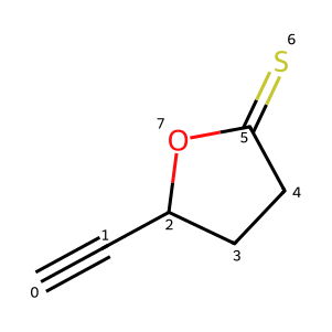 C#CC1CCC(=S)O1